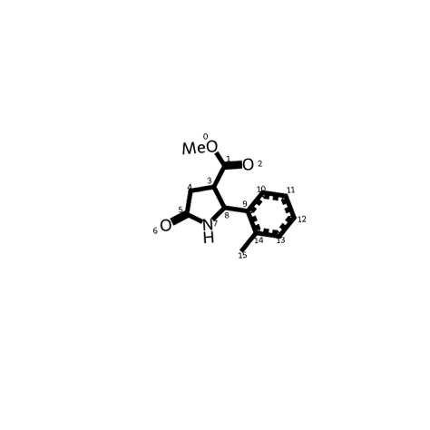 COC(=O)C1CC(=O)NC1c1ccccc1C